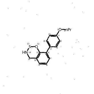 CCCOc1ccc(-c2cccc3c2OSNC3)cc1